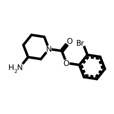 NC1CCCN(C(=O)Oc2ccccc2Br)C1